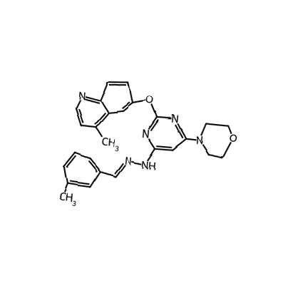 Cc1cccc(/C=N/Nc2cc(N3CCOCC3)nc(Oc3ccc4nccc(C)c4c3)n2)c1